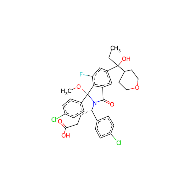 CCC(O)(c1cc(F)c2c(c1)C(=O)N([C@@H](CCC(=O)O)c1ccc(Cl)cc1)[C@@]2(OC)c1ccc(Cl)cc1)C1CCOCC1